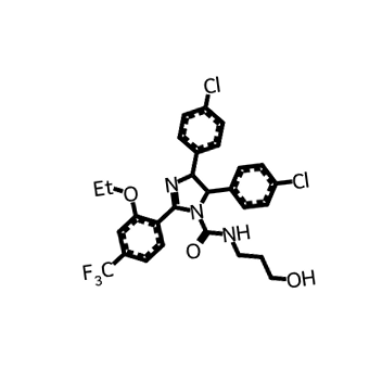 CCOc1cc(C(F)(F)F)ccc1C1=NC(c2ccc(Cl)cc2)C(c2ccc(Cl)cc2)N1C(=O)NCCCO